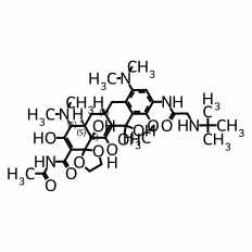 COc1c(NC(=O)CNC(C)(C)C)cc(N(C)C)c2c1C(O)(O)C1=C(O)[C@@]3(O)[C@@H](C[C@@H]1C2)[C@H](N(C)C)C(O)=C(C(=O)NC(C)=O)C31OCCO1